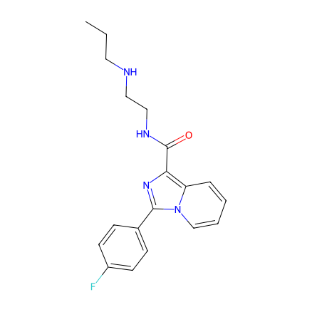 CCCNCCNC(=O)c1nc(-c2ccc(F)cc2)n2ccccc12